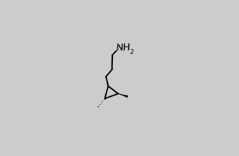 C[C@@H]1C(CCCN)[C@H]1C